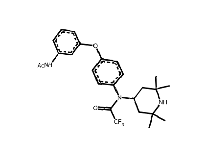 CC(=O)Nc1cccc(Oc2ccc(N(C(=O)C(F)(F)F)C3CC(C)(C)NC(C)(C)C3)cc2)c1